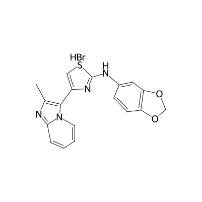 Br.Cc1nc2ccccn2c1-c1csc(Nc2ccc3c(c2)OCO3)n1